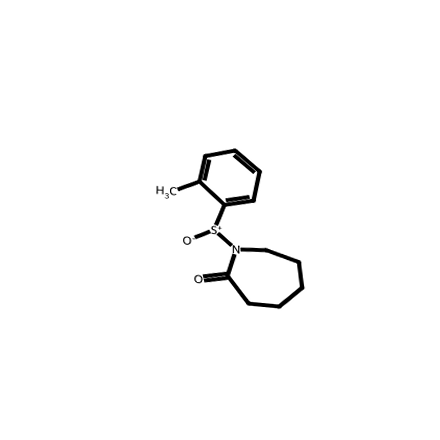 Cc1ccccc1[S+]([O-])N1CCCCCC1=O